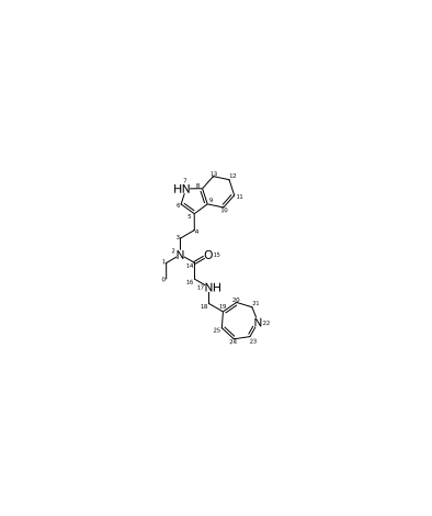 CCN(CCc1c[nH]c2c1C=CCC2)C(=O)CNCC1=CCN=CC=C1